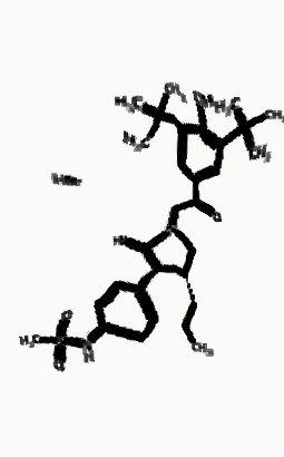 Br.CCC[C@H]1CN(CC(=O)c2cc(C(C)(C)C)c(O)c(C(C)(C)C)c2)C(=N)[C@@H]1c1ccc(NS(C)(=O)=O)cc1